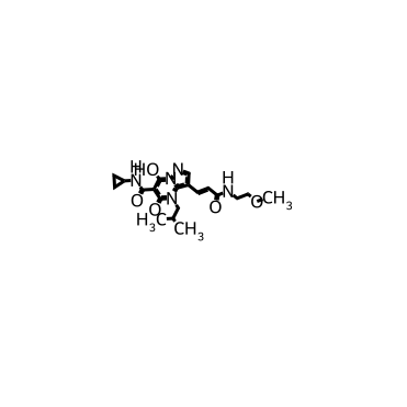 COCCNC(=O)C=Cc1cnn2c(O)c(C(=O)NC3CC3)c(=O)n(CC(C)C)c12